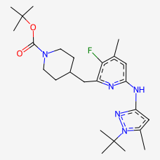 Cc1cc(Nc2cc(C)n(C(C)(C)C)n2)nc(CC2CCN(C(=O)OC(C)(C)C)CC2)c1F